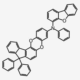 c1ccc(N(c2ccc3c(c2)Oc2ccc4c(c2O3)-c2ccccc2C4(c2ccccc2)c2ccccc2)c2cccc3c2oc2ccccc23)cc1